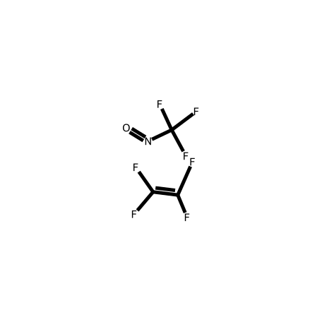 FC(F)=C(F)F.O=NC(F)(F)F